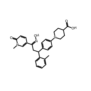 Cc1ccccc1C(CC(=NO)c1ccc(=O)n(C)c1)c1ccc(N2CCC(C(=O)O)CC2)cc1